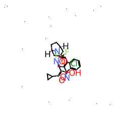 O=C(O)c1cnc(N2[C@@H]3CC[C@H]2C[C@H](OCc2c(-c4ccccc4OC(F)F)noc2C2CC2)C3)cc1Cl